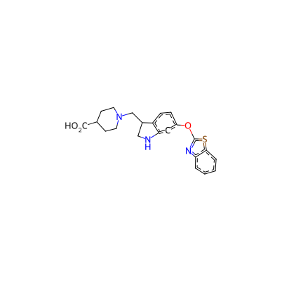 O=C(O)C1CCN(CC2CNc3cc(Oc4nc5ccccc5s4)ccc32)CC1